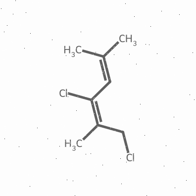 CC(C)=C/C(Cl)=C(/C)CCl